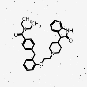 CCN(CC)C(=O)c1ccc(Cc2ccccc2OCCN2CCC(C3C(=O)Nc4ccccc43)CC2)cc1